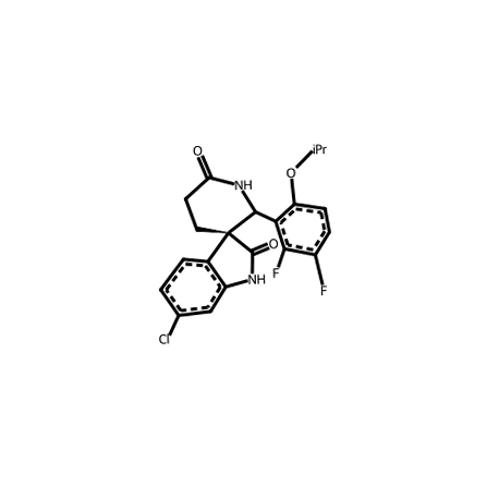 CC(C)Oc1ccc(F)c(F)c1C1NC(=O)CC[C@]12C(=O)Nc1cc(Cl)ccc12